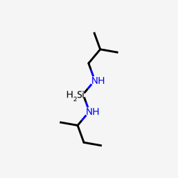 CCC(C)N[SiH2]NCC(C)C